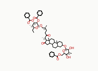 CCC1O[C@@H](OC[C@@H](C)CCC(=O)[C@@H](C)C2C(=O)CC3C4CCC5CC(O[C@@H]6OC(COC(=O)c7ccccc7)[C@H](O)[C@H](C)C6O)CCC5(C)C4CCC32C)C(OC(=O)c2ccccc2)[C@@H](OC(=O)c2ccccc2)[C@H]1C